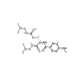 CNc1ccc(C(=O)N[C@@H](CCC(=O)OCC(C)C)C(=O)OCC(C)C)cc1